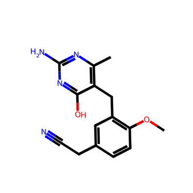 COc1ccc(CC#N)cc1Cc1c(C)nc(N)nc1O